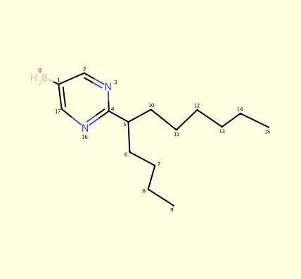 Bc1cnc(C(CCCC)CCCCCC)nc1